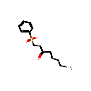 CCCCCC(=O)CCS(=O)(=O)c1ccccc1